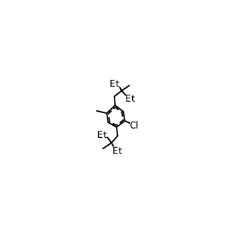 CCC(C)(CC)Cc1cc(Cl)c(CC(C)(CC)CC)cc1C